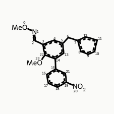 CO/N=C/c1cc(Cc2ccccc2)cc(-c2cccc([N+](=O)[O-])c2)c1OC